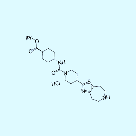 CC(C)OC(=O)[C@H]1CC[C@H](NC(=O)N2CCC(c3nc4c(s3)CCNCC4)CC2)CC1.Cl